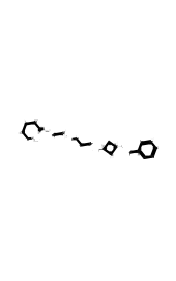 c1ccc(CO[C@H]2C[C@H](OCCCOCCOC3CCCCO3)C2)cc1